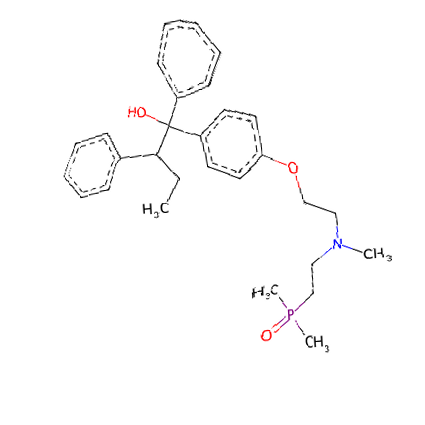 CCC(c1ccccc1)C(O)(c1ccccc1)c1ccc(OCCN(C)CCP(C)(C)=O)cc1